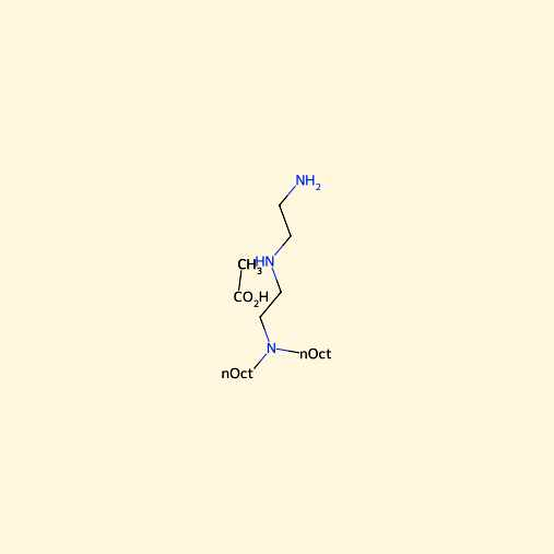 CC(=O)O.CCCCCCCCN(CCCCCCCC)CCNCCN